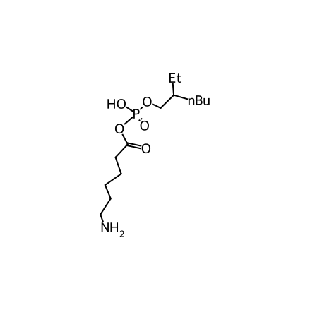 CCCCC(CC)COP(=O)(O)OC(=O)CCCCCN